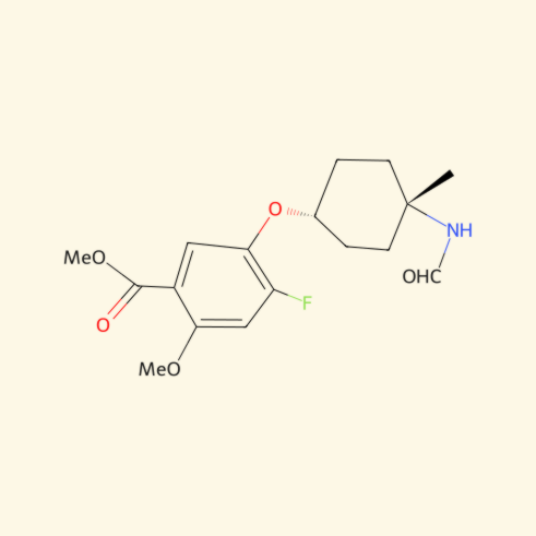 COC(=O)c1cc(O[C@H]2CC[C@@](C)(NC=O)CC2)c(F)cc1OC